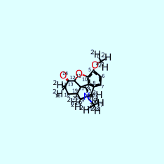 [2H]C([2H])([2H])Oc1ccc2c3c1OC1C(=O)C([2H])([2H])C[C@]4([2H])[C@@]31CCN(C([2H])([2H])[2H])[C@]4([2H])C2([2H])[2H]